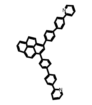 c1ccc(-c2ccc(-c3ccc(-c4cc(-c5ccc(-c6ccc(-c7ccccn7)cc6)cc5)c5ccc6cccc7ccc4c5c76)cc3)cc2)nc1